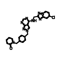 O=c1ccccn1Cc1ccc(Cn2cc3c(NCc4nc5cc(Cl)ccn5n4)ncnc3n2)cc1